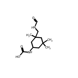 CC1(C)CC(NC(=O)O)CC(C)(CNC=O)C1